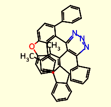 Cc1cc2c(c(-c3c(-c4ccccc4)nnnc3-c3c(-c4ccccc4)ccc4oc5ccccc5c34)c1C)Cc1ccccc1-2